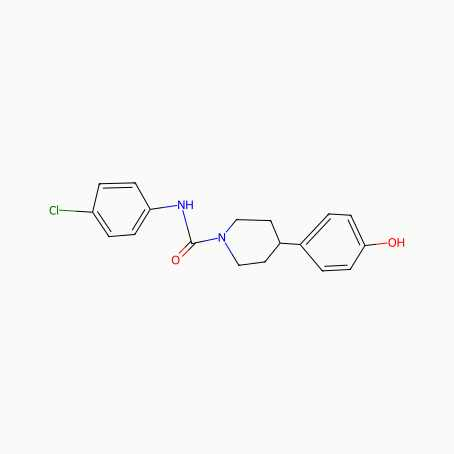 O=C(Nc1ccc(Cl)cc1)N1CCC(c2ccc(O)cc2)CC1